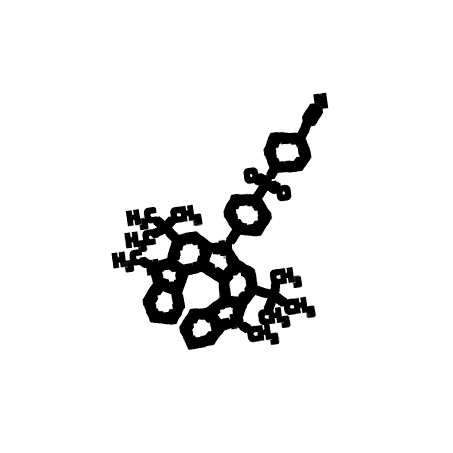 Cn1c2ccccc2c2c3c4c5c6ccccc6n(C)c5c(C(C)(C)C)cc4n(-c4ccc(S(=O)(=O)c5ccc(C#N)cc5)cc4)c3cc(C(C)(C)C)c21